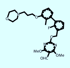 COc1nc(OCc2cccc(-c3cccc(OCCCN4CCOCC4)c3C)c2F)nc(OC)c1C=O